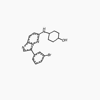 OC1CCC(Nc2ccc3ncc(-c4cccc(Br)c4)n3n2)CC1